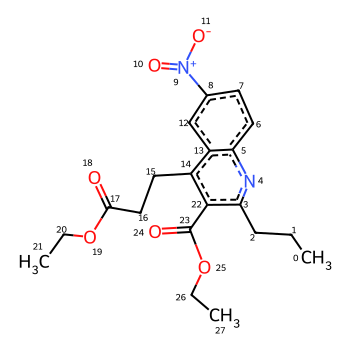 CCCc1nc2ccc([N+](=O)[O-])cc2c(CCC(=O)OCC)c1C(=O)OCC